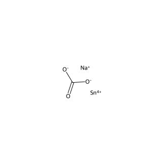 O=C([O-])[O-].[Na+].[Sn+4]